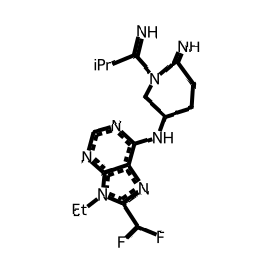 CCn1c(C(F)F)nc2c(NC3CCC(=N)N(C(=N)C(C)C)C3)ncnc21